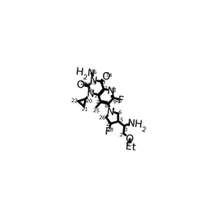 CCOCC(N)C1CN(c2c(F)nc3c(=O)n(N)c(=O)n(C4CC4)c3c2C)CC1F